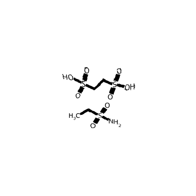 CCS(N)(=O)=O.O=S(=O)(O)CCS(=O)(=O)O